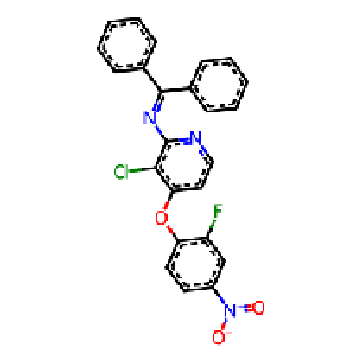 O=[N+]([O-])c1ccc(Oc2ccnc(N=C(c3ccccc3)c3ccccc3)c2Cl)c(F)c1